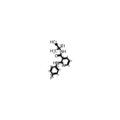 C#C[C@](C)(CC)NC(=O)c1cccnc1Nc1ccc(F)cc1